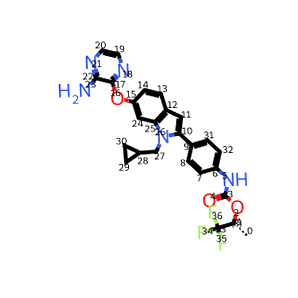 C[C@@H](OC(=O)Nc1ccc(-c2cc3ccc(Oc4nccnc4N)cc3n2CC2CC2)cc1)C(F)(F)F